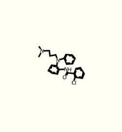 CN(C)CCCN(c1ccccc1)c1ccccc1NC(=O)c1ccccc1Cl